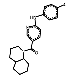 O=C(c1ccc(Nc2ccc(Cl)cc2)nc1)N1CCCC2CCCCC21